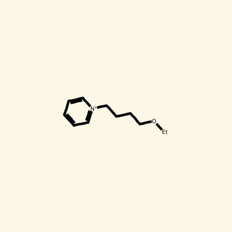 CCOCCCC[n+]1ccccc1